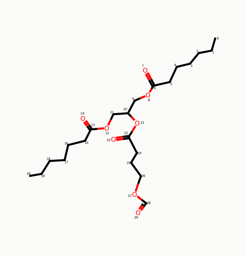 CCCCCCC(=O)OCC(COC(=O)CCCCCC)OC(=O)CCCOC=O